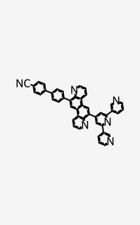 N#Cc1ccc(-c2ccc(-c3cc4c5cccnc5c(-c5cc(-c6cccnc6)nc(-c6cccnc6)c5)cc4c4cccnc34)cc2)cc1